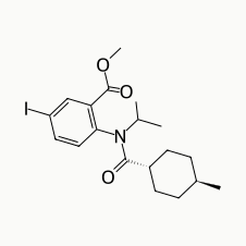 COC(=O)c1cc(I)ccc1N(C(=O)[C@H]1CC[C@H](C)CC1)C(C)C